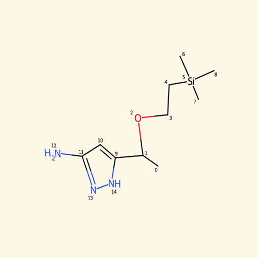 CC(OCC[Si](C)(C)C)c1cc(N)n[nH]1